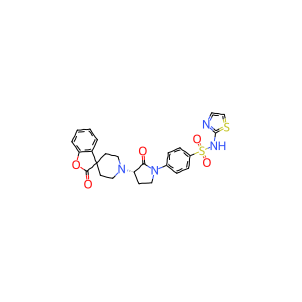 O=C1[C@@H](N2CCC3(CC2)C(=O)Oc2ccccc23)CCN1c1ccc(S(=O)(=O)Nc2nccs2)cc1